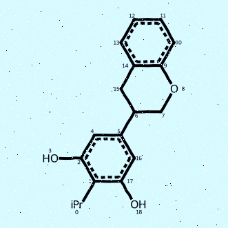 CC(C)c1c(O)cc(C2COc3ccccc3C2)cc1O